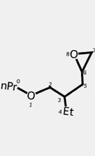 [CH2]CCOCC(CC)CC1CO1